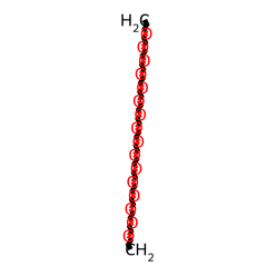 C=CCOCCOCCOCCOCCOCCOCCOCCOCCOCCOCCOCCOCCOCCOCCOCCOCC=C